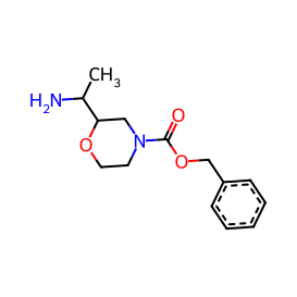 CC(N)C1CN(C(=O)OCc2ccccc2)CCO1